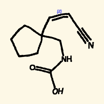 N#C/C=C\C1(CNC(=O)O)CCCC1